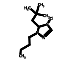 CCCCN1N=CN(Cl)C1CC(C)(C)C